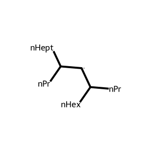 CCCCCCCC([CH]C(CCC)CCCCCC)CCC